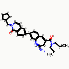 CCCN(CCC)C(=O)C1=Cc2ccc(-c3ccc4c(=O)n(CC5CCCC5)ccc4c3)cc2N=C(N)C1